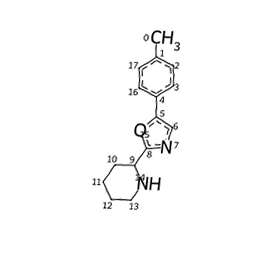 Cc1ccc(-c2cnc(C3CCCCN3)o2)cc1